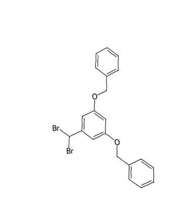 BrC(Br)c1cc(OCc2ccccc2)cc(OCc2ccccc2)c1